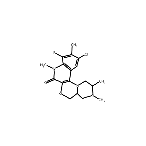 Cc1c(Cl)cc2c3c(c(=O)n(C)c2c1F)OCC1CN(C)C(C)CN31